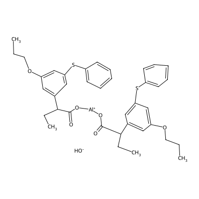 CCCOc1cc(Sc2ccccc2)cc(C(CC)C(=O)[O][Al+][O]C(=O)C(CC)c2cc(OCCC)cc(Sc3ccccc3)c2)c1.[OH-]